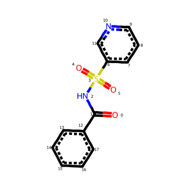 O=C(NS(=O)(=O)c1cccnc1)c1ccccc1